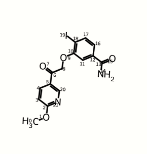 COc1ccc(C(=O)COc2cc(C(N)=O)ccc2I)cn1